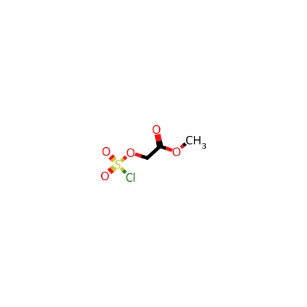 COC(=O)COS(=O)(=O)Cl